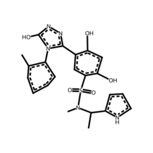 Cc1ccccc1-n1c(O)nnc1-c1cc(S(=O)(=O)N(C)C(C)c2ccc[nH]2)c(O)cc1O